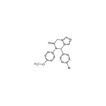 COc1ccc(N2C(=O)Cn3cncc3C2c2ccc(Br)cc2)cc1